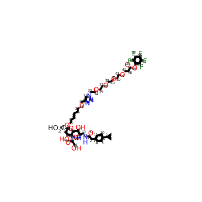 O=C(Cc1ccc(C2CC2)cc1)NC[C@H](O)[C@H](O)[C@H]1O[C@](OCCCCCCOCc2cn(CCOCCOCCOCCOCCC(=O)Oc3c(F)c(F)c(F)c(F)c3F)nn2)(C(=O)O)C[C@@H](O)[C@@H]1NC(=O)CO